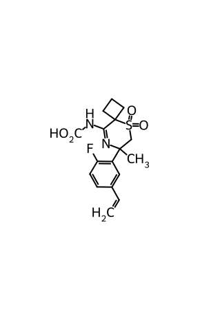 C=Cc1ccc(F)c(C2(C)CS(=O)(=O)C3(CCC3)C(NC(=O)O)=N2)c1